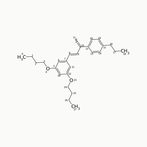 CCCCOc1cc(C=CC(=S)c2ccc(CCC)cc2)cc(OCCCC)c1